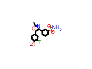 COc1ccc(-c2oc(C)nc2-c2cccc(S(N)(=O)=O)c2)cc1F